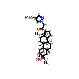 COCC[C@]12CC[C@@](C)(O)C[C@H]1CC[C@H]1[C@@H]3CC[C@H](C(=O)Cn4cc(SC)cn4)[C@@]3(C)CC[C@@H]12